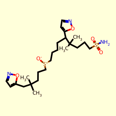 CC(C)(CCC[S+]([O-])CCCCC(c1ccno1)C(C)(C)CCCS(N)(=O)=O)Cc1ccno1